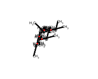 CCCCCCCCCCCC(=O)OCCCC(CN(CCCCNC(=O)CN(C)CC(=O)NCCCCN(CC(CCCCCOC(=O)C(CCCCCCCC)CCCCCCCC)O[Si](C)(C)C(C)(C)C)CC(CCCCOC(=O)CCCCCCCCCC)O[Si](C)(C)C(C)(C)C)CC(CCCCCOC(=O)C(CCCCCCCC)CCCCCCCC)O[Si](C)(C)C(C)(C)C)O[Si](C)(C)C(C)(C)C